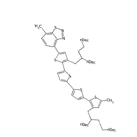 CCCCCCCCCCCCC(CCCCCCCCCC)Cc1cc(C)sc1-c1ccc(-c2ccc(-c3sc(-c4ccc(C)c5snnc45)cc3CC(CCCCCCCCCC)CCCCCCCCCCCC)s2)s1